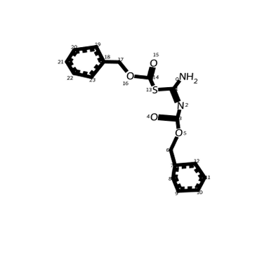 NC(=NC(=O)OCc1ccccc1)SC(=O)OCc1ccccc1